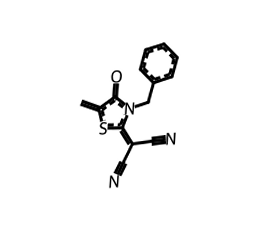 C=c1sc(=C(C#N)C#N)n(Cc2ccccc2)c1=O